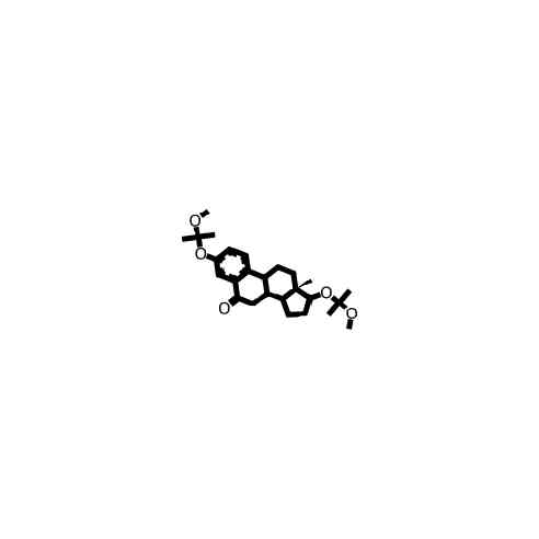 COC(C)(C)Oc1ccc2c(c1)C(=O)CC1C2CC[C@]2(C)C(OC(C)(C)OC)CCC12